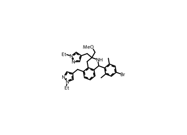 CCn1cc(Cc2cccc3c2CC(COC)(Cc2cnn(CC)c2)NC3c2c(C)cc(Br)cc2C)cn1